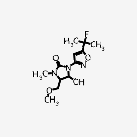 COCC1C(O)N(c2cc(C(C)(C)F)on2)C(=O)N1C